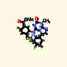 COC(=O)c1cc(NC2=NC(=O)N(C)C3=NCC(c4cc(F)c(F)c(F)c4)N23)c(C)cc1F